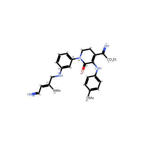 CCOC(=O)C(=N)C1=C(Nc2ccc(OC)cc2)C(=O)N(c2cccc(NC/C(=C/C=N)NC)c2)CC1